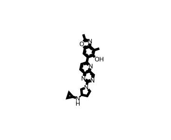 Cc1nc2c(C)c(O)c(-c3ccc4nc(N5CC[C@@H](NC6CC6)C5)ncc4n3)cc2o1